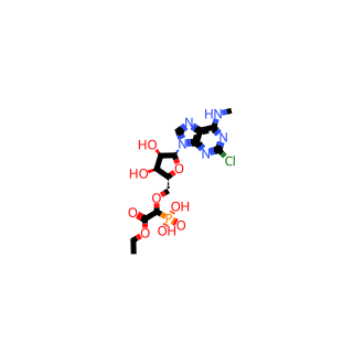 CCOC(=O)C(OC[C@H]1O[C@@H](n2cnc3c(NC)nc(Cl)nc32)[C@H](O)[C@@H]1O)P(=O)(O)O